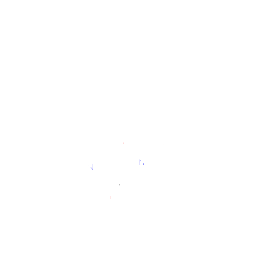 Cc1ccc(S(=O)(=O)N2CC(O)(C#N)CCc3ccccc32)cc1